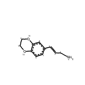 NC/C=C/c1ccc2c(c1)OCCO2